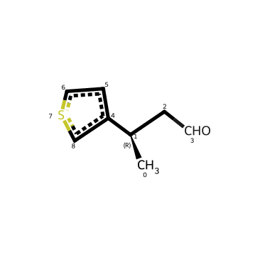 C[C@H](CC=O)c1ccsc1